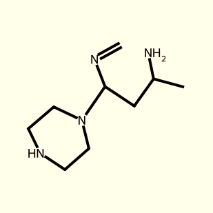 C=NC(CC(C)N)N1CCNCC1